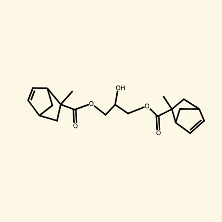 CC1(C(=O)OCC(O)COC(=O)C2(C)CC3C=CC2C3)CC2C=CC1C2